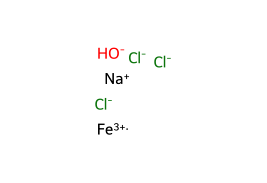 [Cl-].[Cl-].[Cl-].[Fe+3].[Na+].[OH-]